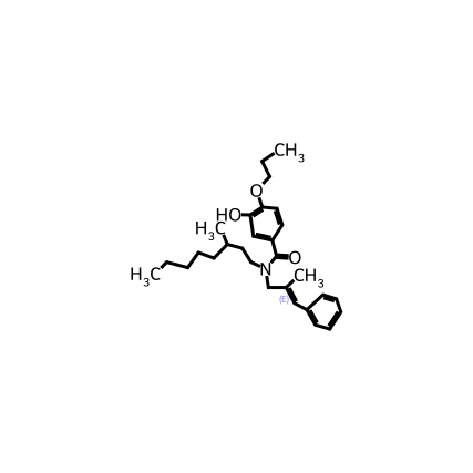 CCCCCC(C)CCN(C/C(C)=C/c1ccccc1)C(=O)c1ccc(OCCC)c(O)c1